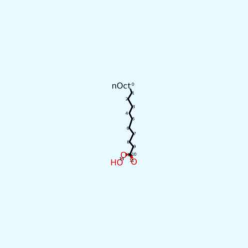 CCCCCCCCCCCCCCCCCC(=O)OO